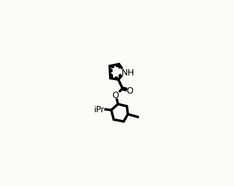 CC1CCC(C(C)C)C(OC(=O)c2ccc[nH]2)C1